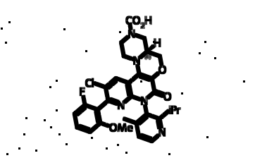 COc1cccc(F)c1-c1nc2c(cc1Cl)c1c(c(=O)n2-c2c(C)ccnc2C(C)C)OC[C@H]2CN(C(=O)O)CCN12